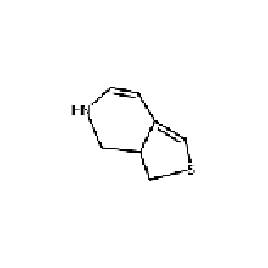 C1=CC2=CSCC2CN1